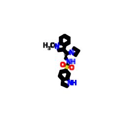 Cn1cc([C@H](CNS(=O)(=O)c2ccc3cc[nH]c3c2)N2CCC2)c2ccccc21